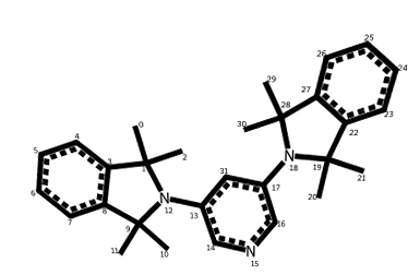 CC1(C)c2ccccc2C(C)(C)N1c1cncc(N2C(C)(C)c3ccccc3C2(C)C)c1